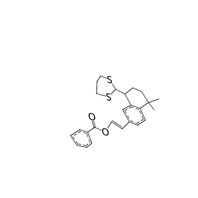 CC1(C)CCC(C2SCCCS2)c2cc(C=COC(=O)c3ccccc3)ccc21